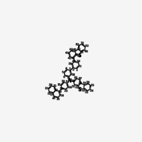 c1cc(-c2cccc(N(c3ccc(-c4cccc5ccccc45)cc3)c3ccc4c(c3)sc3ccccc34)c2)cc(-c2cccc3c2sc2ccccc23)c1